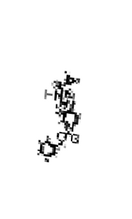 O=C(OCc1ccccc1)N1CCc2nc(NS(=O)(=O)C3CC3)sc2C1